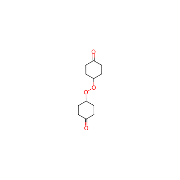 O=C1CCC(OOC2CCC(=O)CC2)CC1